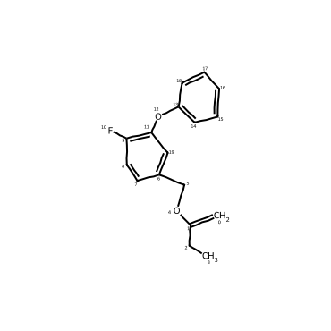 C=C(CC)OCc1ccc(F)c(Oc2ccccc2)c1